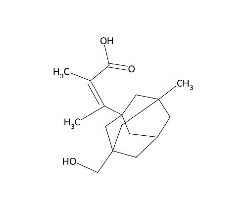 CC(C(=O)O)=C(C)C12CC3CC(C)(CC(CO)(C3)C1)C2